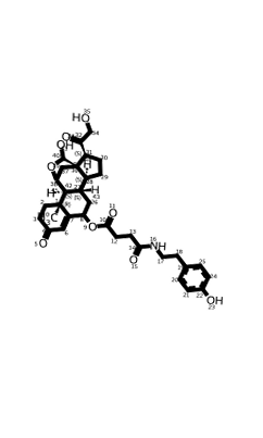 C[C@]12CCC(=O)C=C1C(OC(=O)CCC(=O)NCCc1ccc(O)cc1)C[C@H]1[C@@H]3CC[C@H](C(=O)CO)[C@@]34CC(OC4O)[C@@H]12